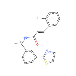 C[C@H](NC(=O)C=Cc1ccccc1F)c1cccc(-c2nccs2)c1